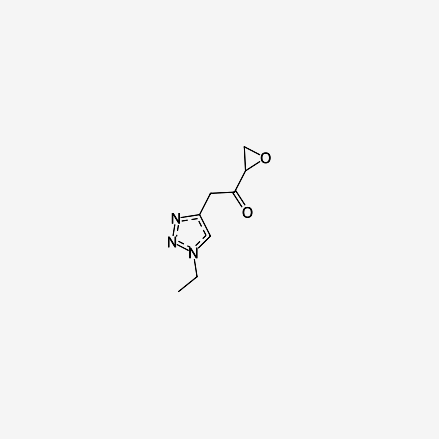 CCn1cc(CC(=O)C2CO2)nn1